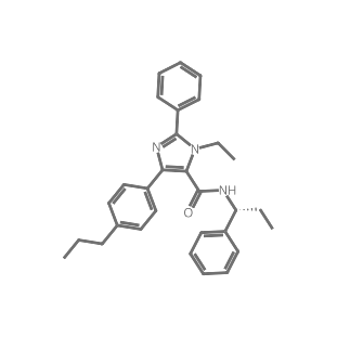 CCCc1ccc(-c2nc(-c3ccccc3)n(CC)c2C(=O)N[C@H](CC)c2ccccc2)cc1